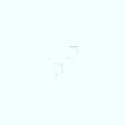 Nc1nc(-c2ccc(Br)cc2)c(S(=O)(=O)O)s1